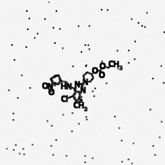 CCOC(=O)OC1CCN(c2nc(NCc3cccc([N+](=O)[O-])c3)c3c(Cl)c(C)sc3n2)CC1